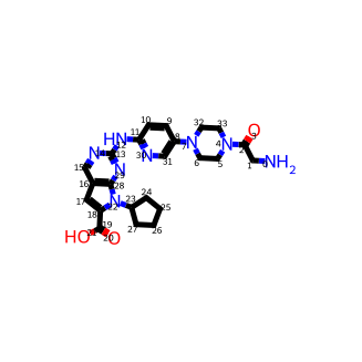 NCC(=O)N1CCN(c2ccc(Nc3ncc4cc(C(=O)O)n(C5CCCC5)c4n3)nc2)CC1